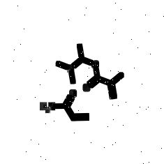 C=C(C)C(=O)OC(C)N(C)C.C=CC(N)=O